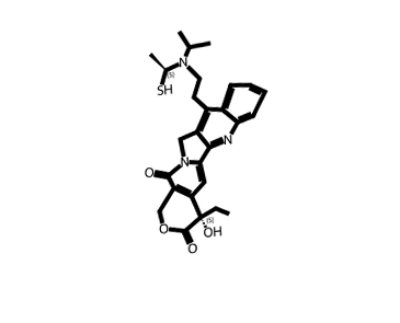 CC[C@@]1(O)C(=O)OCc2c1cc1n(c2=O)Cc2c-1nc1ccccc1c2CCN(C(C)C)[C@H](C)S